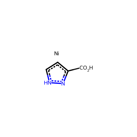 O=C(O)c1cc[nH]n1.[Ni]